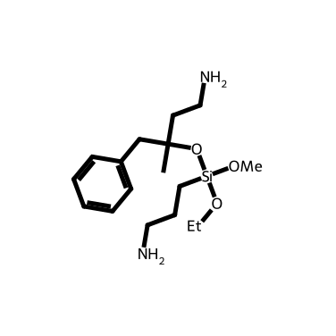 CCO[Si](CCCN)(OC)OC(C)(CCN)Cc1ccccc1